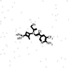 C=C(CC(C)C)N(/C=C(\CC)c1cnc(N)c(C(F)(F)F)c1)C1CC(N(CCC)CCC)=C1C